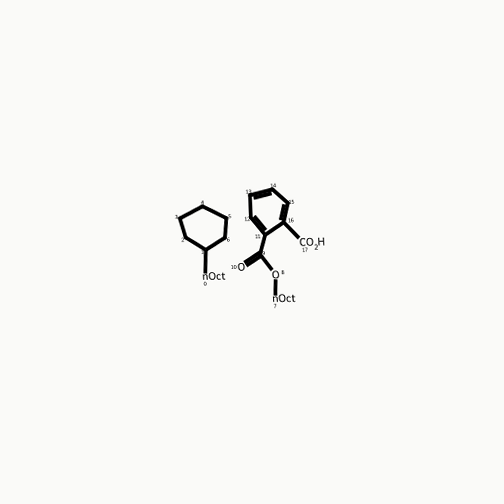 CCCCCCCCC1CCCCC1.CCCCCCCCOC(=O)c1ccccc1C(=O)O